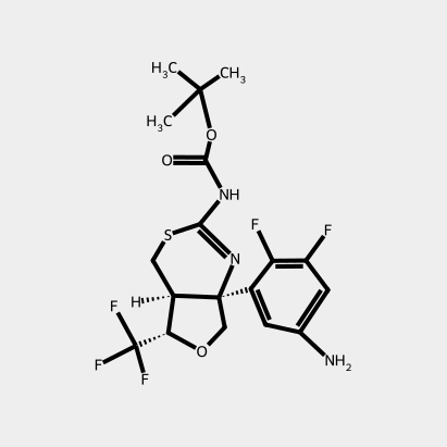 CC(C)(C)OC(=O)NC1=N[C@@]2(c3cc(N)cc(F)c3F)CO[C@H](C(F)(F)F)[C@H]2CS1